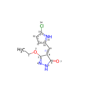 CCOC1=NNC(=O)/C1=C/c1ccc(Cl)[nH]1